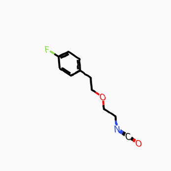 O=C=NCCOCCc1ccc(F)cc1